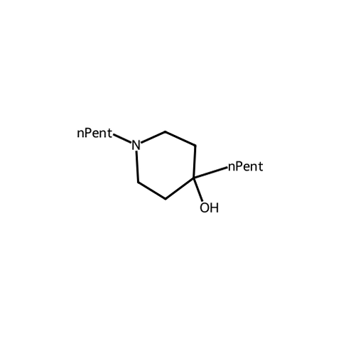 CCCCCN1CCC(O)(CCCCC)CC1